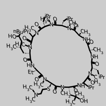 CCCCC(O)C[C@@H](C)C[C@H]1C(=O)N[C@@H](CC)C(=O)N(C)[C@H](SCCN(C)C)C(=O)N(C)[C@@H](CC(C)(C)O)C(=O)NC(C(C)C)C(=O)N(C)[C@@H](CC(C)C)C(=O)N[C@@H](C)C(=O)N[C@H](C)C(=O)N(C)[C@@H](CC(C)C)C(=O)N(C)[C@@H](CC(C)C)C(=O)N(C)C(C(C)C)C(=O)N1C